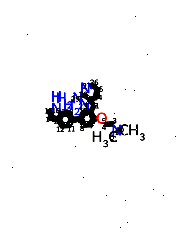 CN(C)CCOc1ccc(-c2ccc3cc[nH]c3c2)cc1CC1(N)C=CC=NC1N